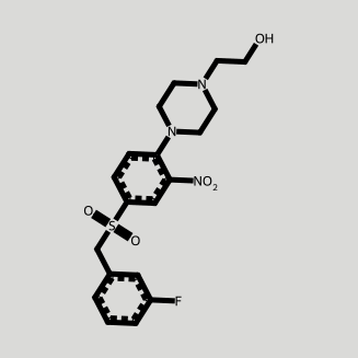 O=[N+]([O-])c1cc(S(=O)(=O)Cc2cccc(F)c2)ccc1N1CCN(CCO)CC1